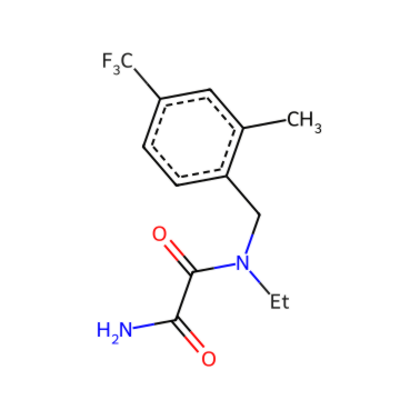 CCN(Cc1ccc(C(F)(F)F)cc1C)C(=O)C(N)=O